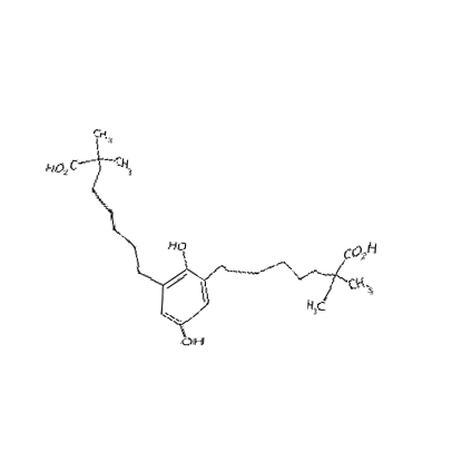 CC(C)(CCCCCc1cc(O)cc(CCCCCC(C)(C)C(=O)O)c1O)C(=O)O